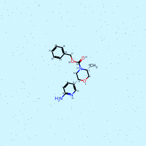 C[C@@H]1CO[C@H](c2ccc(N)nc2)CN1C(=O)OCc1ccccc1